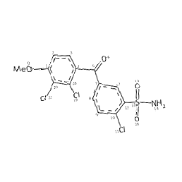 COc1ccc(C(=O)c2ccc(Cl)c(S(N)(=O)=O)c2)c(Cl)c1Cl